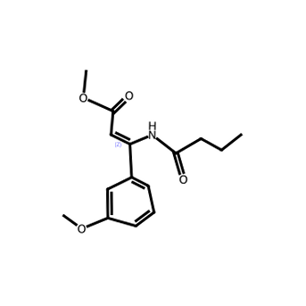 CCCC(=O)N/C(=C\C(=O)OC)c1cccc(OC)c1